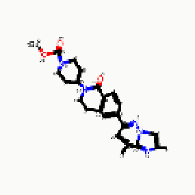 Cc1cn2nc(-c3ccc4c(c3)CCN(C3CCN(C(=O)OC(C)(C)C)CC3)C4=O)cc(C)c2n1